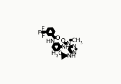 CCN(C(=O)Nc1cc(NC(=O)c2cccc(C(F)(F)F)c2)ccc1C)c1cc(NC2CC2)ncn1